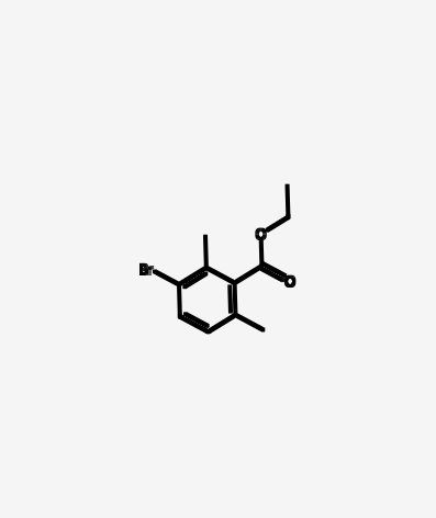 CCOC(=O)c1c(C)ccc(Br)c1C